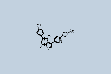 CC(=O)N1CC(c2ccc(-c3cnn4c3C(=O)N(c3ccc(C(F)(F)F)cc3)C[C@@H]4C)cn2)C1